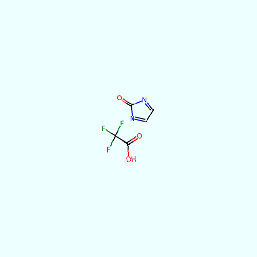 O=C(O)C(F)(F)F.O=C1N=CC=N1